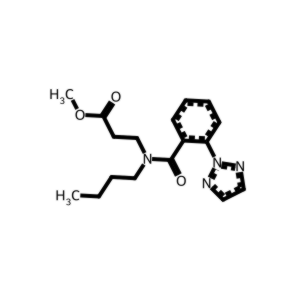 CCCCN(CCC(=O)OC)C(=O)c1ccccc1-n1nccn1